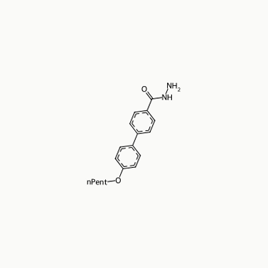 CCCCCOc1ccc(-c2ccc(C(=O)NN)cc2)cc1